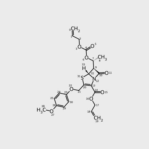 C=CCOC(=O)O[C@H](C)[C@H]1C(=O)N2C(C(=O)OCC=C)=C(COc3ccc(OC)cc3)S[C@H]12